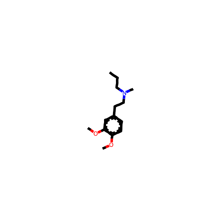 CCCN(C)CCc1ccc(OC)c(OC)c1